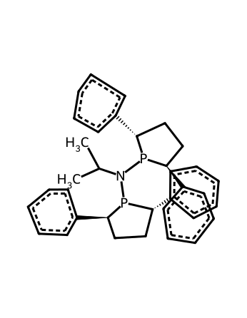 CC(C)N(P1[C@H](c2ccccc2)CC[C@H]1c1ccccc1)P1[C@H](c2ccccc2)CC[C@H]1c1ccccc1